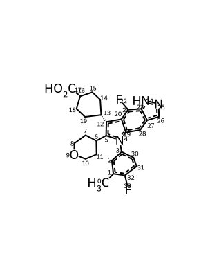 Cc1cc(-n2c(C3CCOCC3)c([C@H]3CC[C@H](C(=O)O)CC3)c3c(F)c4[nH]ncc4cc32)ccc1F